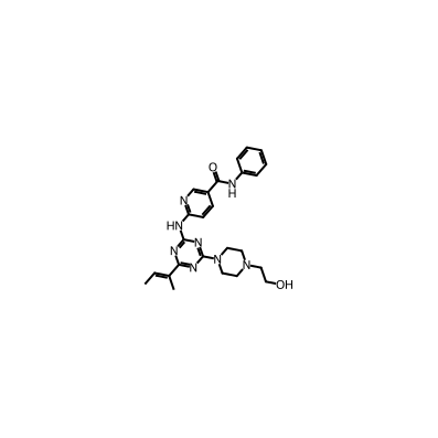 C/C=C(\C)c1nc(Nc2ccc(C(=O)Nc3ccccc3)cn2)nc(N2CCN(CCO)CC2)n1